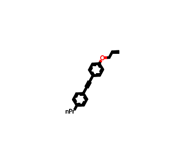 C=CCOc1ccc(C#Cc2ccc(CCC)cc2)cc1